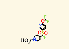 O=C(O)N1CCC(C(F)S(=O)(=O)c2ccc(OC(F)F)nc2)CC1